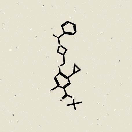 C[C@@H](c1ccccc1)N1CC(COc2cc(F)c(C(=O)OC(C)(C)C)cc2C2CC2)C1